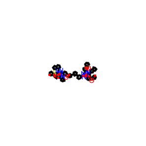 c1cc(-c2cccc(-c3nc(-c4ccc5oc6ccccc6c5c4)nc(-c4ccc5c(oc6ccccc65)c4-n4c5ccccc5c5cc6ccccc6cc54)n3)c2)cc(-c2ccc3oc4c(-n5c6ccccc6c6cc7ccccc7cc65)c(-c5nc(-c6cccc7ccccc67)nc(-c6cccc7c6sc6ccccc67)n5)ccc4c3c2)c1